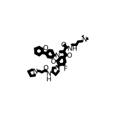 CN(C)CCCCNC(=O)c1cn2c3c(c(N4CC[C@@H](NC(=O)CCN5CCCC5)C4)c(F)cc3c1=O)Oc1cc3c(cc1-2)oc1ccccc13